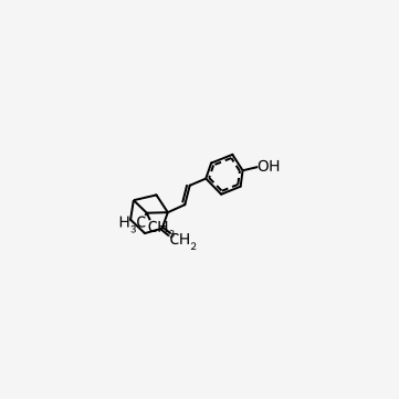 C=C1CCC2CC1(C=Cc1ccc(O)cc1)C2(C)C